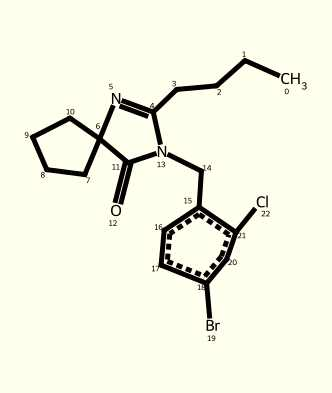 CCCCC1=NC2(CCCC2)C(=O)N1Cc1ccc(Br)cc1Cl